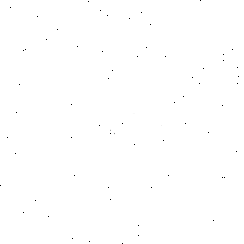 CCN(CC)[Si](=O)CC